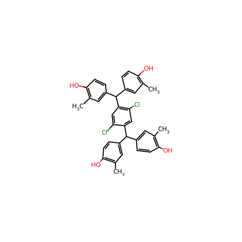 Cc1cc(C(c2ccc(O)c(C)c2)c2cc(Cl)c(C(c3ccc(O)c(C)c3)c3ccc(O)c(C)c3)cc2Cl)ccc1O